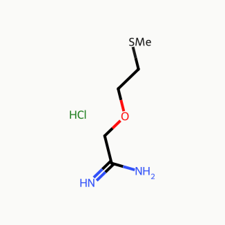 CSCCOCC(=N)N.Cl